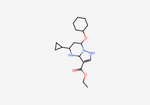 CCOC(=O)C1=CNN2C(OC3CCCCC3)CC(C3CC3)NC12